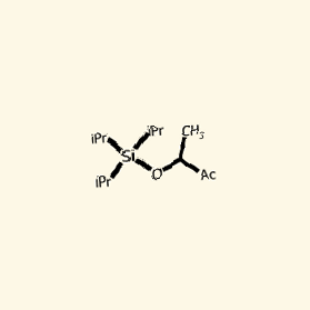 CC(=O)C(C)O[Si](C(C)C)(C(C)C)C(C)C